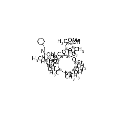 CC[C@H]1OC(=O)[C@H](C)[C@@H](O[C@H]2C[C@@](C)(OC)[C@@H](O)[C@H](C)O2)[C@H](C)[C@@H](O[C@@H]2O[C@H](C)C[C@H]3[C@H]2OC(=NCc2ccccc2)N3C)[C@](C)(O)C[C@@H](C)CN(C)[C@H](C)[C@@H](O)[C@]1(C)O